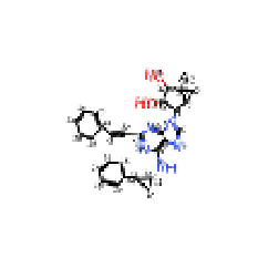 CC(=O)[C@]12CC1[C@@H](n1cnc3c(N[C@@H]4CC4c4ccccc4)nc(C#Cc4ccccc4)nc31)[C@H](O)C2O